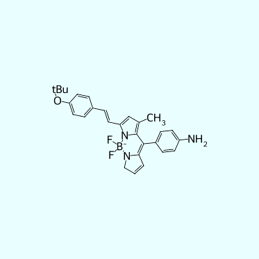 Cc1cc(/C=C/c2ccc(OC(C)(C)C)cc2)n2c1C(c1ccc(N)cc1)=C1C=CCN1[B-]2(F)F